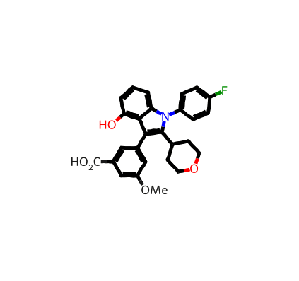 COc1cc(C(=O)O)cc(-c2c(C3CCOCC3)n(-c3ccc(F)cc3)c3cccc(O)c23)c1